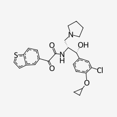 O=C(N[C@H](CN1CCCC1)[C@H](O)c1ccc(OC2CC2)c(Cl)c1)C(=O)c1ccc2sccc2c1